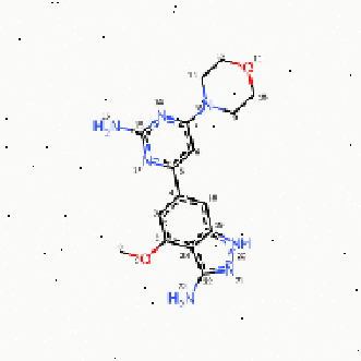 COc1cc(-c2cc(N3CCOCC3)nc(N)n2)cc2[nH]nc(N)c12